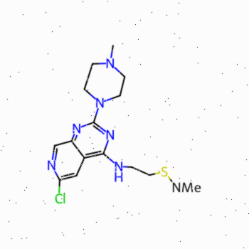 CNSCCNc1nc(N2CCN(C)CC2)nc2cnc(Cl)cc12